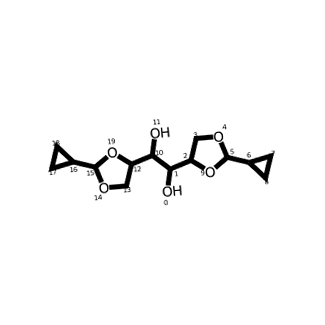 OC(C1COC(C2CC2)O1)C(O)C1COC(C2CC2)O1